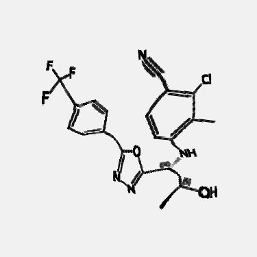 Cc1c(N[C@@H](c2nnc(-c3ccc(C(F)(F)F)cc3)o2)[C@H](C)O)ccc(C#N)c1Cl